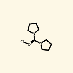 Cl[O+]=C(N1CCCC1)N1CCCC1